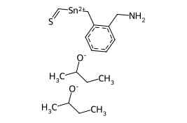 CCC(C)[O-].CCC(C)[O-].NCc1ccccc1[CH2][Sn+2][CH]=S